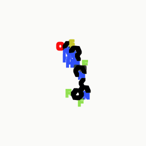 O=C1CSc2ccc(CN[C@@H]3CCN(CCc4ccnc5c(F)cc(F)cc45)C[C@H]3F)nc2N1